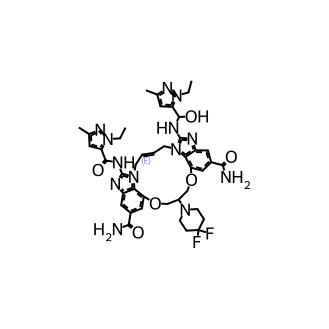 CCn1nc(C)cc1C(=O)Nc1nc2cc(C(N)=O)cc3c2n1C/C=C/Cn1c(NC(O)c2cc(C)nn2CC)nc2cc(C(N)=O)cc(c21)OCC(N1CCC(F)(F)CC1)CO3